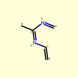 C=C/N=C(/C)N=C